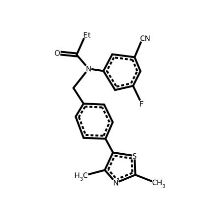 CCC(=O)N(Cc1ccc(-c2sc(C)nc2C)cc1)c1cc(F)cc(C#N)c1